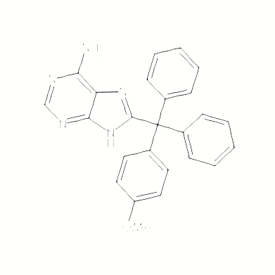 COc1ccc(C(c2ccccc2)(c2ccccc2)c2nc3c(N)n[c]nc3[nH]2)cc1